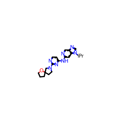 CC(C)n1cnc2cnc(Nc3ccnc(N4CCC5(CCCO5)C4)n3)cc21